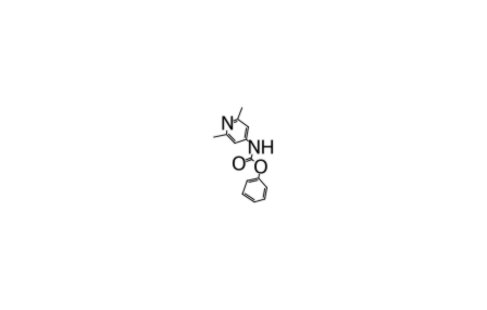 Cc1cc(NC(=O)Oc2ccccc2)cc(C)n1